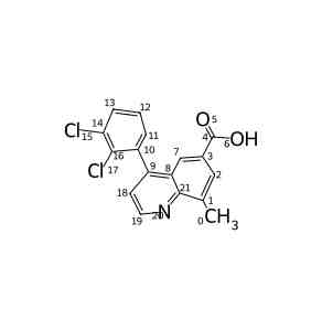 Cc1cc(C(=O)O)cc2c(-c3cccc(Cl)c3Cl)ccnc12